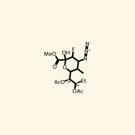 CC[C@@H](OC(C)=O)[C@@H](OC(C)=O)C1OC(O)(C(=O)OC)C(F)C(N=[N+]=[N-])C1C